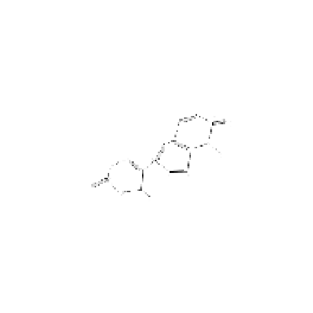 CC1NC(=O)NN=C1c1ccc2c(ccc(=O)n2C)c1